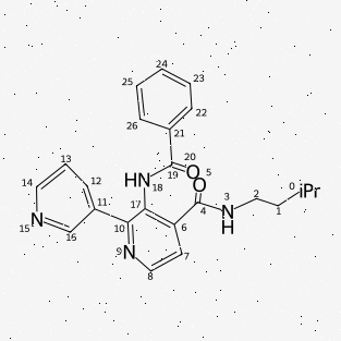 CC(C)CCNC(=O)c1ccnc(-c2cccnc2)c1NC(=O)c1ccccc1